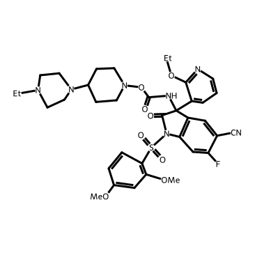 CCOc1ncccc1C1(NC(=O)ON2CCC(N3CCN(CC)CC3)CC2)C(=O)N(S(=O)(=O)c2ccc(OC)cc2OC)c2cc(F)c(C#N)cc21